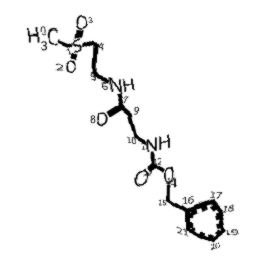 CS(=O)(=O)CCNC(=O)CCNC(=O)OCc1ccccc1